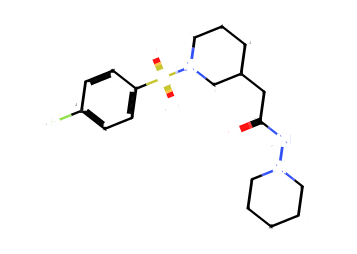 O=C(CC1CCCN(S(=O)(=O)c2ccc(F)cc2)C1)NN1CCCCC1